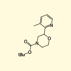 Cc1cccnc1C1CN(C(=O)OC(C)(C)C)CCO1